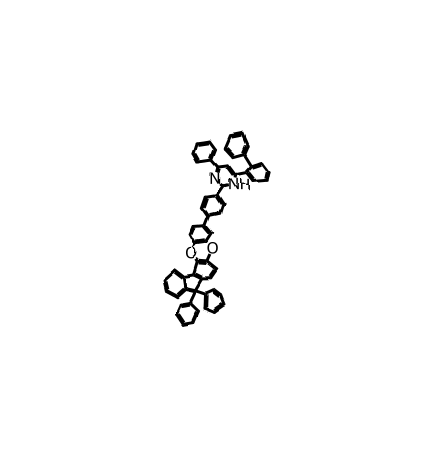 C1=C(c2ccccc2-c2ccccc2)NC(c2ccc(-c3ccc4c(c3)Oc3ccc5c(c3O4)-c3ccccc3C5(c3ccccc3)c3ccccc3)cc2)N=C1c1ccccc1